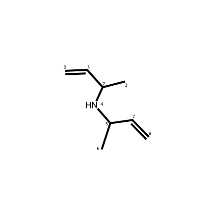 C=CC(C)NC(C)C=C